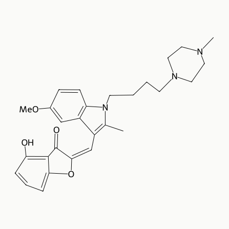 COc1ccc2c(c1)c(C=C1Oc3cccc(O)c3C1=O)c(C)n2CCCCN1CCN(C)CC1